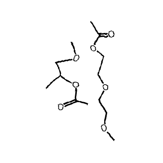 COCC(C)OC(C)=O.COCCOCCOC(C)=O